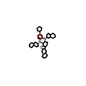 c1ccc(-c2ccc(N(c3ccc4ccccc4c3)c3c(N(c4ccccc4)c4ccc5ccccc5c4)ccc4c3sc3cc5ccccc5cc34)cc2)cc1